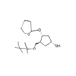 CC(C)(C)[Si](C)(C)OC[C@@H]1C[C@@H](O)C[C@H]1OC1CCCCO1